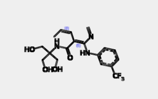 C=N/C(Nc1cccc(C(F)(F)F)c1)=C(\C=C/C)C(=O)NC(CO)(CO)CO